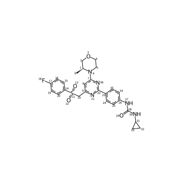 C[C@H]1COCCN1c1cc(CS(=O)(=O)c2ccc(F)cc2)nc(-c2ccc(NC(=O)NC3CC3)cc2)n1